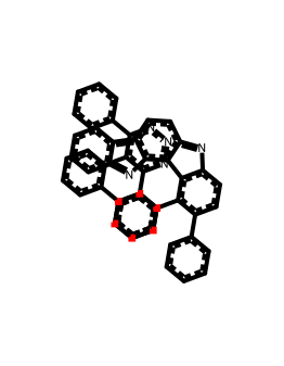 c1ccc(-c2ccccc2-c2c(-c3ccccc3)nnnc2-c2ccccc2-c2c(-c3ccccc3)ccc3c2-c2c4c(ccc2=N3)=c2ccccc2=N4)cc1